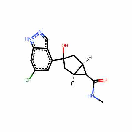 CNC(=O)C1[C@H]2CC(O)(c3cc(Cl)cc4[nH]ncc34)C[C@@H]12